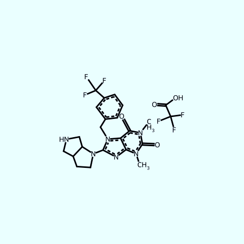 Cn1c(=O)c2c(nc(N3CCC4CNCC43)n2Cc2cccc(C(F)(F)F)c2)n(C)c1=O.O=C(O)C(F)(F)F